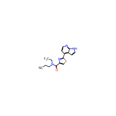 N#CCCN(CC(F)(F)F)C(=O)c1csc(-c2ccnc3[nH]ccc23)n1